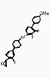 COC1CCC(c2ccc(COC3CCC(c4ccc(C5CO5)c(F)c4)CC3)c(F)c2F)CC1